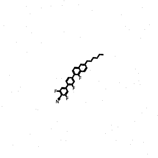 CCCCCCc1ccc2c(F)c(-c3ccc(-c4cc(F)c(C#N)c(F)c4)c(F)c3)ccc2c1